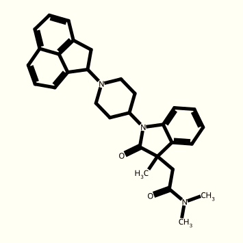 CN(C)C(=O)CC1(C)C(=O)N(C2CCN(C3Cc4cccc5cccc3c45)CC2)c2ccccc21